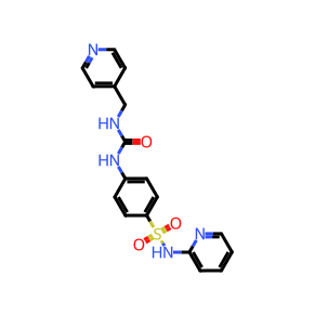 O=C(NCc1ccncc1)Nc1ccc(S(=O)(=O)Nc2ccccn2)cc1